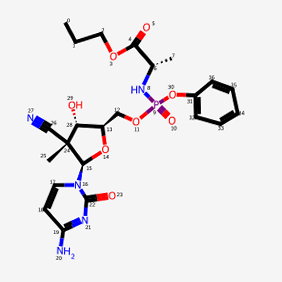 CCCOC(=O)[C@H](C)NP(=O)(OC[C@H]1O[C@@H](n2ccc(N)nc2=O)[C@](C)(C#N)[C@@H]1O)Oc1ccccc1